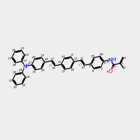 C=C(C)C(=O)Nc1ccc(/C=C/c2ccc(/C=C/c3ccc(N(c4ccccc4)c4ccccc4)cc3)cc2)cc1